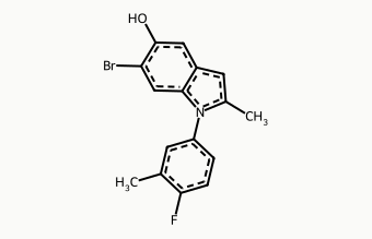 Cc1cc(-n2c(C)cc3cc(O)c(Br)cc32)ccc1F